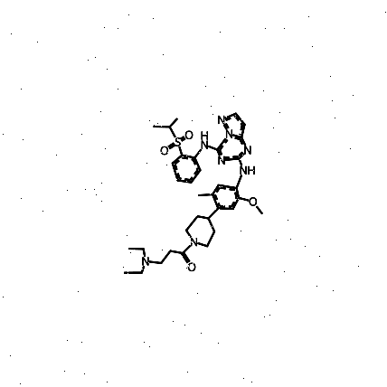 CCN(CC)CCC(=O)N1CCC(c2cc(OC)c(Nc3nc(Nc4ccccc4S(=O)(=O)C(C)C)n4nccc4n3)cc2C)CC1